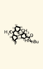 CCCCNC(=O)c1ccc(Sc2ccccc2C(C)c2ccc(F)cc2)c(C)c1